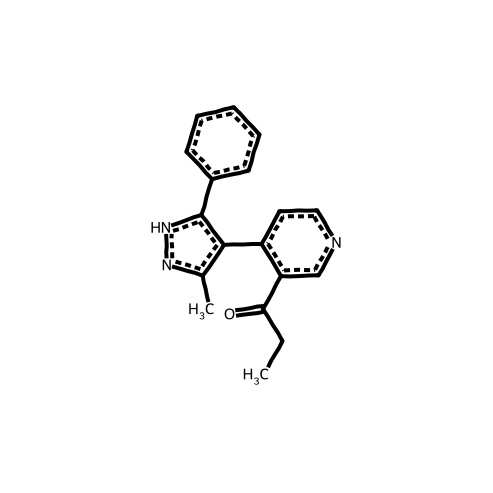 CCC(=O)c1cnccc1-c1c(C)n[nH]c1-c1ccccc1